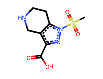 CS(=O)(=O)n1nc(C(=O)O)c2c1CCNC2